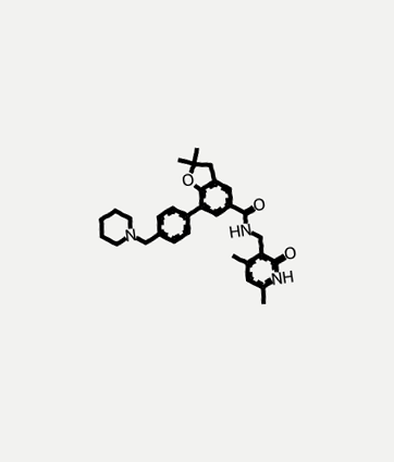 Cc1cc(C)c(CNC(=O)c2cc3c(c(-c4ccc(CN5CCCCC5)cc4)c2)OC(C)(C)C3)c(=O)[nH]1